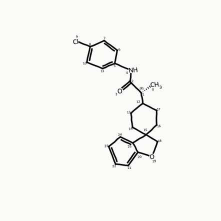 C[C@@H](C(=O)Nc1ccc(Cl)cc1)C1CCC2(CC1)COc1ccccc12